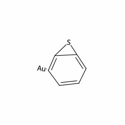 [Au].c1ccc2c(c1)S2